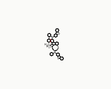 C=C1/C=C\C(N(c2ccccc2)c2ccc3c(c2)sc2ccccc23)=C/CSc2cccc3c2c1c(CC)c1ccc(N(c2ccc4oc5ccccc5c4c2)c2ccccc2-c2ccccc2)cc13